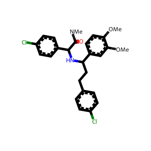 CNC(=O)C(NC(CCc1ccc(Cl)cc1)c1ccc(OC)c(OC)c1)c1ccc(Cl)cc1